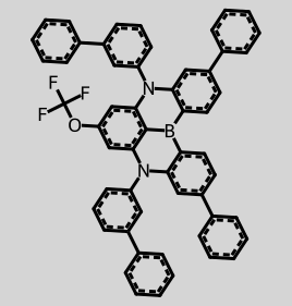 FC(F)(F)Oc1cc2c3c(c1)N(c1cccc(-c4ccccc4)c1)c1cc(-c4ccccc4)ccc1B3c1ccc(-c3ccccc3)cc1N2c1cccc(-c2ccccc2)c1